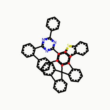 c1ccc(-c2nc(-c3ccccc3-c3cccc(-c4cccc5c4C4(c6ccccc6-c6ccccc64)c4ccccc4-5)c3)nc(-c3cccc4c3sc3ccccc34)n2)cc1